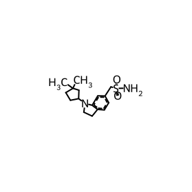 CC1(C)CCC(N2CCc3ccc(CS(N)(=O)=O)cc32)C1